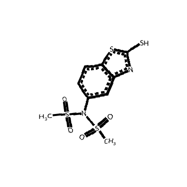 CS(=O)(=O)N(c1ccc2sc(S)nc2c1)S(C)(=O)=O